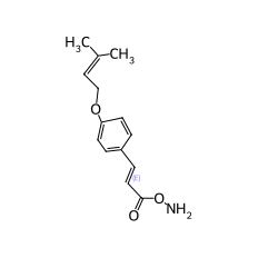 CC(C)=CCOc1ccc(/C=C/C(=O)ON)cc1